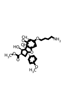 COC(=O)[C@@H]1C[C@]2(c3ccc(OC)cc3)Oc3cc(OCCCCN)cc(OC)c3[C@]2(O)[C@@H]1O